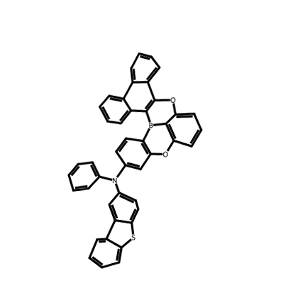 c1ccc(N(c2ccc3c(c2)Oc2cccc4c2B3c2c(c3ccccc3c3ccccc23)O4)c2ccc3sc4ccccc4c3c2)cc1